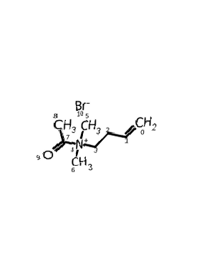 C=CCC[N+](C)(C)C(C)=O.[Br-]